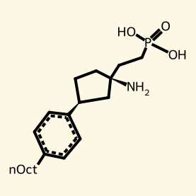 CCCCCCCCc1ccc([C@H]2CC[C@](N)(CCP(=O)(O)O)C2)cc1